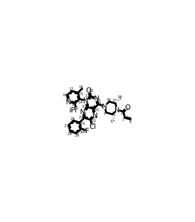 C=CC(=O)N1[C@H](C)CN(c2nc(=O)n(-c3c(C)ccnc3C(C)C)c3nc(-c4ccccc4F)c(Cl)nc23)C[C@@H]1C